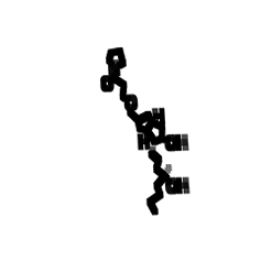 CCCC[C@](C)(O)C/C=C/[C@@H]1[C@H]2CC(COCCC(=O)N3CCCC3)=C[C@H]2C[C@H]1O